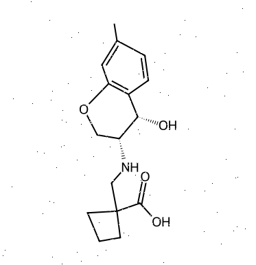 Cc1ccc2c(c1)OC[C@@H](NCC1(C(=O)O)CCC1)[C@H]2O